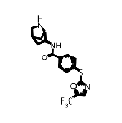 O=C(NC1CC2CNC1C2)c1ccc(Sc2ncc(C(F)(F)F)o2)cc1